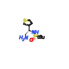 CC(C)(C)[S+]([O-])N[C@H](CN)c1ccsc1